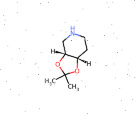 CC1(C)O[C@H]2CCNC[C@H]2O1